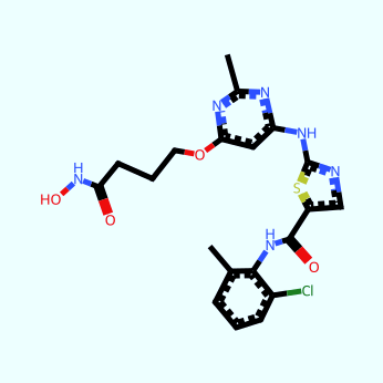 Cc1nc(Nc2ncc(C(=O)Nc3c(C)cccc3Cl)s2)cc(OCCCC(=O)NO)n1